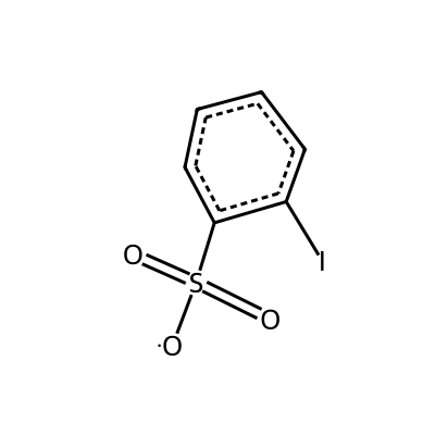 [O]S(=O)(=O)c1ccccc1I